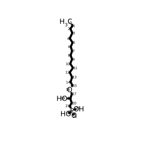 CCCCCCCCCCCCCCCCOCC(O)CCP(=O)(O)O